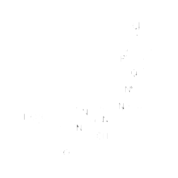 C[C@H](c1nc2ccc(C(=O)O)cc2n1CC1CCO1)N1CCN(c2cccc(OCc3ccc(Cl)cc3F)n2)CC1